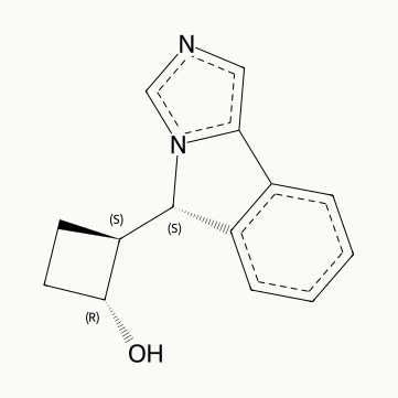 O[C@@H]1CC[C@H]1[C@H]1c2ccccc2-c2cncn21